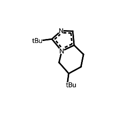 CC(C)(C)c1ncc2n1CC(C(C)(C)C)CC2